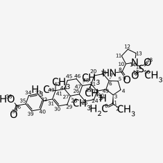 C=C(C)[C@@H]1CC[C@]2(NC(=O)C3CCCN3S(C)(=O)=O)CC[C@]3(C)[C@H](CCC4[C@@]5(C)CC=C(c6ccc(C(=O)O)cc6)C(C)(C)C5CC[C@]43C)C12